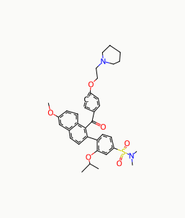 COc1ccc2c(C(=O)c3ccc(OCCN4CCCCC4)cc3)c(-c3ccc(S(=O)(=O)N(C)C)cc3OC(C)C)ccc2c1